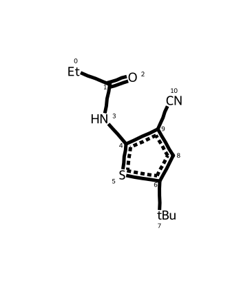 CCC(=O)Nc1sc(C(C)(C)C)cc1C#N